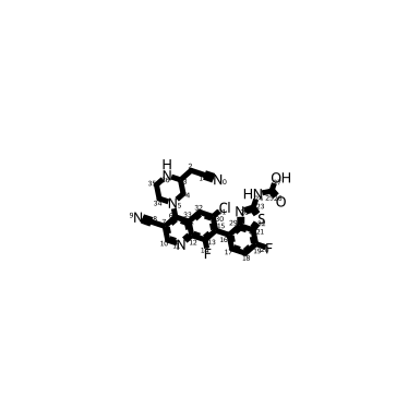 N#CCC1CN(c2c(C#N)cnc3c(F)c(-c4ccc(F)c5sc(NC(=O)O)nc45)c(Cl)cc23)CCN1